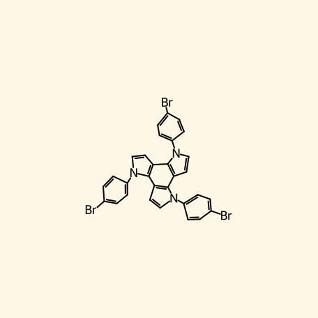 Brc1ccc(-n2ccc3c2c2ccn(-c4ccc(Br)cc4)c2c2ccn(-c4ccc(Br)cc4)c32)cc1